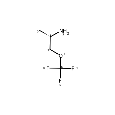 C[C@H](N)COC(F)(F)F